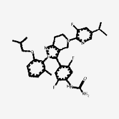 Cc1cccc(OCC(C)C)c1-n1nc2c(c1-c1cc(F)c(NC(N)=O)cc1F)CN(c1ncc(C(C)C)cc1F)CC2